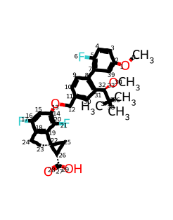 COc1ccc(F)c(-c2ccc(COc3cc(F)c4c(c3F)[C@@]3(CC4)C[C@@H]3C(=O)O)cc2[C@@H](OC)C(C)(C)C)c1